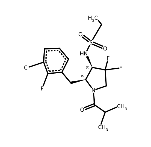 CCS(=O)(=O)N[C@@H]1[C@H](Cc2cccc(Cl)c2F)N(C(=O)C(C)C)CC1(F)F